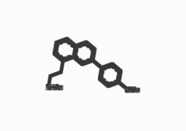 COc1ccc(-c2ccc3cccc(CCNC(C)=O)c3c2)cc1